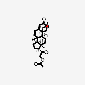 COC[C@]12CCC(=O)C=C1C=C[C@@H]1[C@@H]2CC[C@]2(C)[C@@H](C(=O)COC(C)=O)CC[C@@H]12